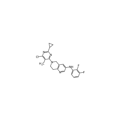 Cc1c(Cl)nc(C2CC2)nc1N1CCc2ncc(Nc3cccc(F)c3F)cc2C1